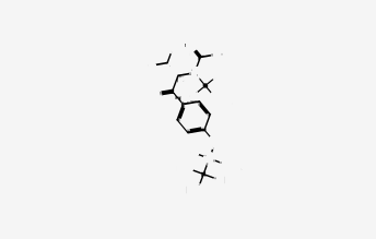 CC(C)[C@@H](C(=O)c1ccc(O[Si](C)(C)C(C)(C)C)cc1)N(C(=O)O)C(C)(C)C